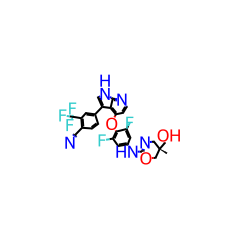 C[C@]1(CO)CN=C(Nc2cc(F)c(Oc3ccnc4[nH]cc(-c5ccc(C#N)c(C(F)(F)F)c5)c34)c(F)c2)OC1